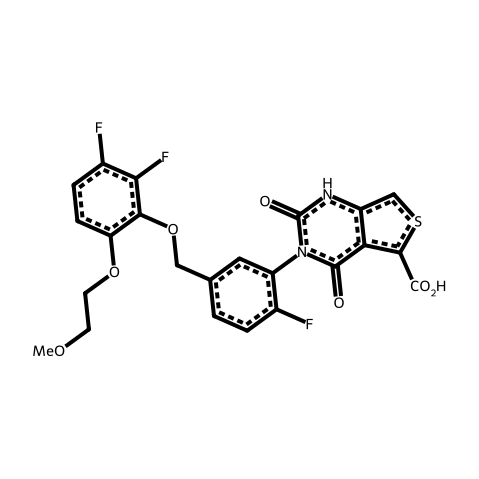 COCCOc1ccc(F)c(F)c1OCc1ccc(F)c(-n2c(=O)[nH]c3csc(C(=O)O)c3c2=O)c1